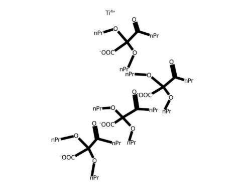 CCCOC(OCCC)(C(=O)[O-])C(=O)CCC.CCCOC(OCCC)(C(=O)[O-])C(=O)CCC.CCCOC(OCCC)(C(=O)[O-])C(=O)CCC.CCCOC(OCCC)(C(=O)[O-])C(=O)CCC.[Ti+4]